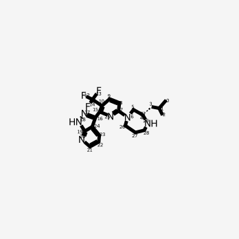 CC(C)C[C@H]1CN(c2ccc(C(F)(F)F)c(-c3n[nH]c4ncccc34)n2)CCCN1